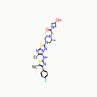 CCc1nc2sc(N3C[C@H](C)N(CC(=O)N4CC(O)C4)[C@@H](C)C3)nn2c1N(C)c1nc(-c2ccc(F)cc2)c(C#N)s1